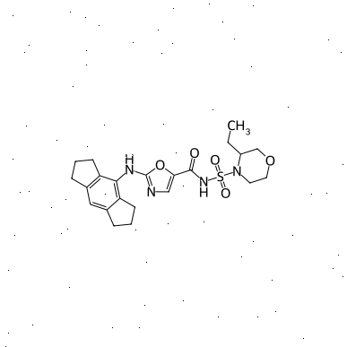 CCC1COCCN1S(=O)(=O)NC(=O)c1cnc(Nc2c3c(cc4c2CCC4)CCC3)o1